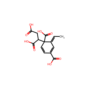 CC=C1C=C(C(=O)O)C=CC1(C(=O)O)C(CC(=O)O)C(=O)O